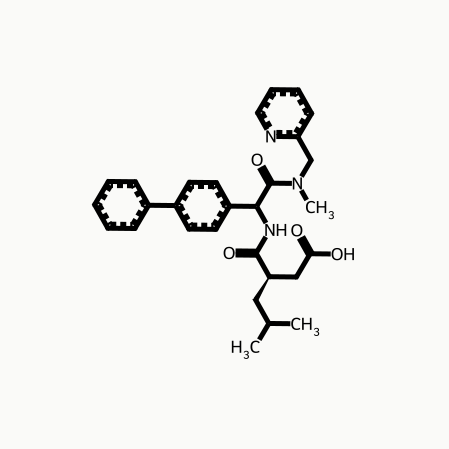 CC(C)C[C@H](CC(=O)O)C(=O)NC(C(=O)N(C)Cc1ccccn1)c1ccc(-c2ccccc2)cc1